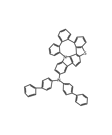 c1ccc(-c2ccc(N(c3ccc(-c4ccccc4)cc3)c3ccc4c(c3)c3ccc5sc6cccc7c8ccccc8c8ccccc8n4c3c5c67)cc2)cc1